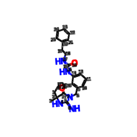 CC(C)CC1(C)NC(=N)N(Cc2cccc(NC(=O)NCCc3ccccc3)c2)C1=O